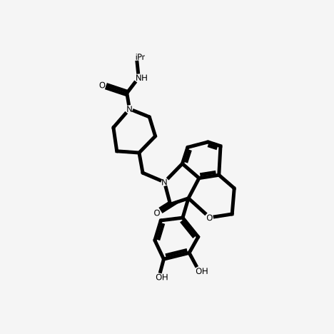 CC(C)NC(=O)N1CCC(CN2C(=O)C3(c4ccc(O)c(O)c4)OCCc4cccc2c43)CC1